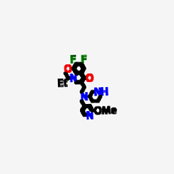 CCC1COc2c(F)c(F)cc3c(=O)c(CCN(Cc4ccnc(OC)c4)[C@H]4CCCNC4)cn1c23